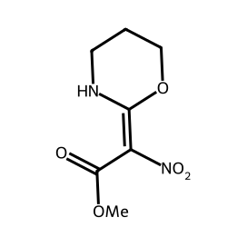 COC(=O)/C(=C1\NCCCO1)[N+](=O)[O-]